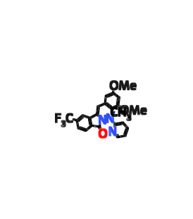 COc1cc(/C=C2/c3cc(C(F)(F)F)ccc3C(=O)N2N(C)c2ccccn2)cc(OC)c1